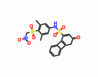 Cc1cc(NS(=O)(=O)C2=CC(=O)CC3=C2c2ccccc23)cc(C)c1S(=O)(=O)C[N+](=O)[O-]